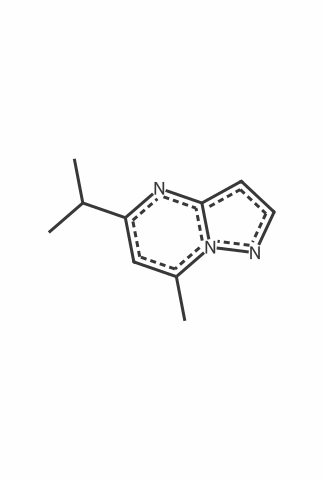 Cc1cc(C(C)C)nc2ccnn12